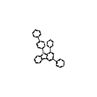 c1ccc(-c2ccc(-n3c4ccccc4c4cc(-c5ccccc5)cc(-c5ccccc5)c43)cc2)cc1